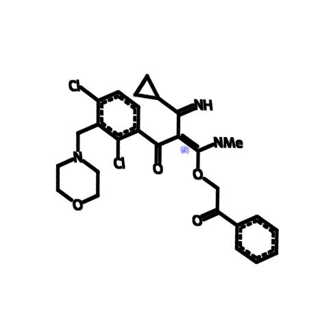 CN/C(OCC(=O)c1ccccc1)=C(\C(=N)C1CC1)C(=O)c1ccc(Cl)c(CN2CCOCC2)c1Cl